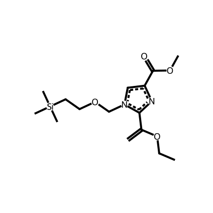 C=C(OCC)c1nc(C(=O)OC)cn1COCC[Si](C)(C)C